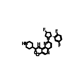 O=C(Nc1c(Cl)cnc2ccc(N3C[C@@H](F)C[C@@H]3c3cc(F)ccc3F)nc12)C1CCNCC1